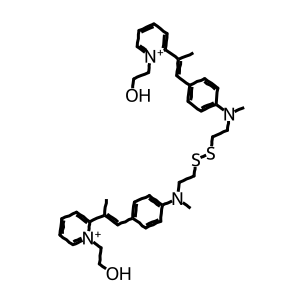 C/C(=C\c1ccc(N(C)CCSSCCN(C)c2ccc(/C=C(\C)c3cccc[n+]3CCO)cc2)cc1)c1cccc[n+]1CCO